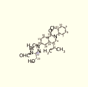 C=C(C)c1cn(-c2ccccc2Cl)c(=O)c2ccc(N(C)/N=C(/CO)N(C=O)CC)cc12